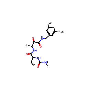 CCNC(=O)NC(CC(C)C)C(=O)NC(CC)C(=O)C(=O)NCc1cc(OC)cc(OC)c1